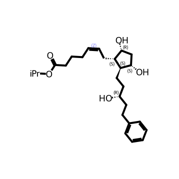 CC(C)OC(=O)CCC/C=C\C[C@H]1[C@H](CC[C@@H](O)CCc2ccccc2)[C@@H](O)C[C@H]1O